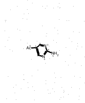 CC(=O)c1cnc(N)nc1